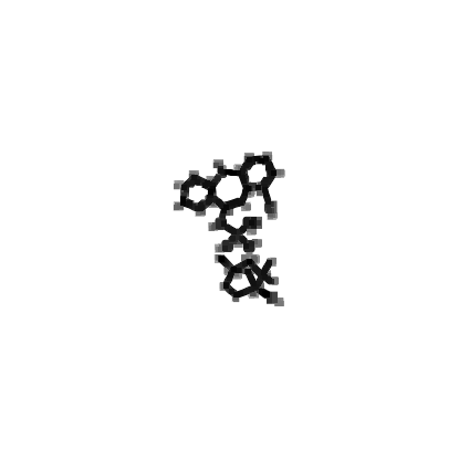 CC1(C)[C@@H]2CC[C@@](C)(C2)[C@@H]1OP(=O)(O)OC1=Cc2c(Cl)cccc2Sc2ccccc21